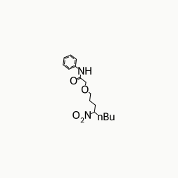 CCCCC(CCCOCC(=O)Nc1ccccc1)[N+](=O)[O-]